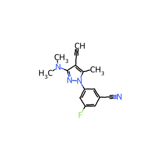 C#Cc1c(N(C)C)nn(-c2cc(F)cc(C#N)c2)c1C